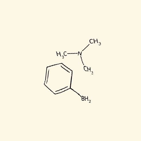 Bc1ccccc1.CN(C)C